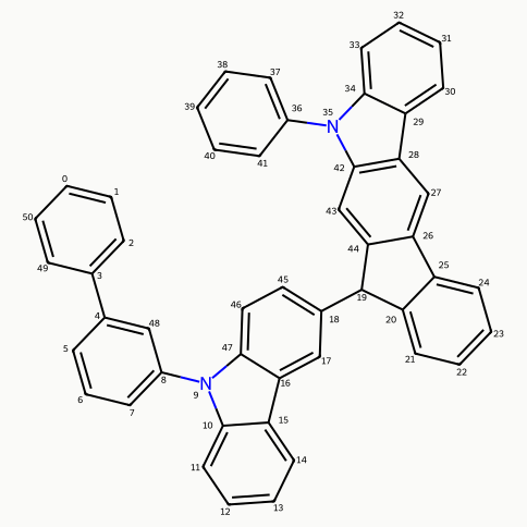 c1ccc(-c2cccc(-n3c4ccccc4c4cc(C5c6ccccc6-c6cc7c8ccccc8n(-c8ccccc8)c7cc65)ccc43)c2)cc1